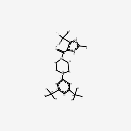 Cc1nc(C(F)(F)F)c(C(=O)N2CCN(c3cc(C(C)(C)C)cc(C(C)(C)C)c3)CC2)s1